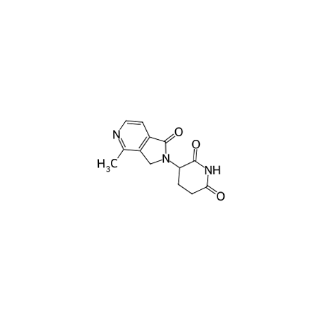 Cc1nccc2c1CN(C1CCC(=O)NC1=O)C2=O